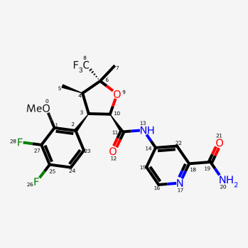 COc1c([C@H]2[C@@H](C)[C@](C)(C(F)(F)F)O[C@H]2C(=O)Nc2ccnc(C(N)=O)c2)ccc(F)c1F